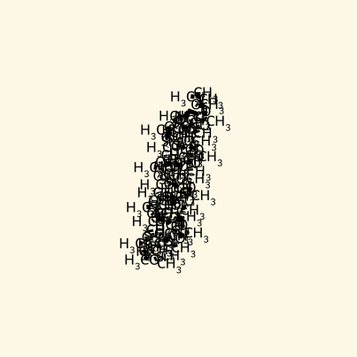 C[Si](C)(C)O[Si](C)(C)O[Si](C)(C)O[Si](C)(C)O[Si](C)(C)O[Si](C)(C)O[Si](C)(C)O[Si](C)(C)O[Si](C)(C)O[Si](C)(C)O[Si](C)(C)O[Si](C)(C)O[Si](C)(C)O[Si](C)(C)O[Si](C)(C)O[Si](C)(C)O[Si](C)(C)O[Si](C)(C)O[Si](C)(C)O[Si](C)(C)O[Si](C)(C)O[Si](C)(C)O[Si](C)(C)O[Si](C)(C)O[Si](C)(C)O[Si](C)(C)O[Si](C)(C)O[Si](C)(C)O[Si](C)(C)O[Si](C)(C)O[Si](C)(C)O[Si](C)(CCCN)O[Si](C)(C)C